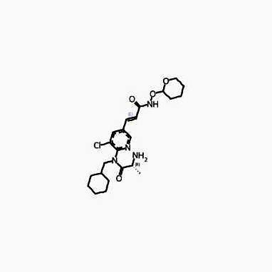 C[C@@H](N)C(=O)N(CC1CCCCC1)c1ncc(/C=C/C(=O)NOC2CCCCO2)cc1Cl